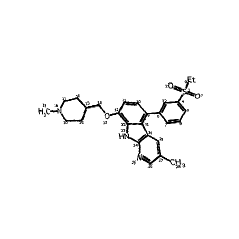 CCS(=O)(=O)c1cccc(-c2ccc(OCC3CCN(C)CC3)c3[nH]c4ncc(C)cc4c23)c1